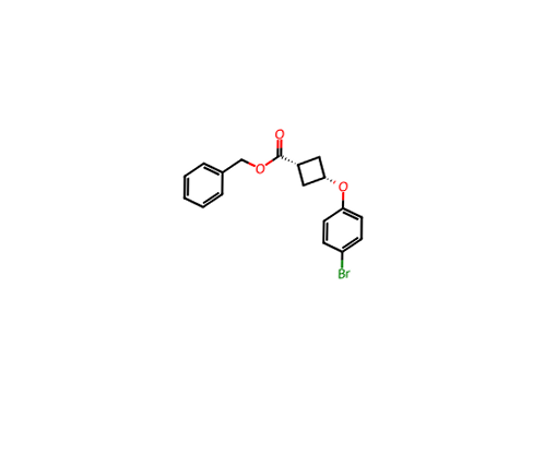 O=C(OCc1ccccc1)[C@H]1C[C@@H](Oc2ccc(Br)cc2)C1